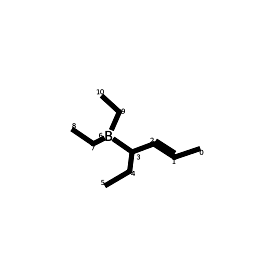 C/C=C/C(CC)B(CC)CC